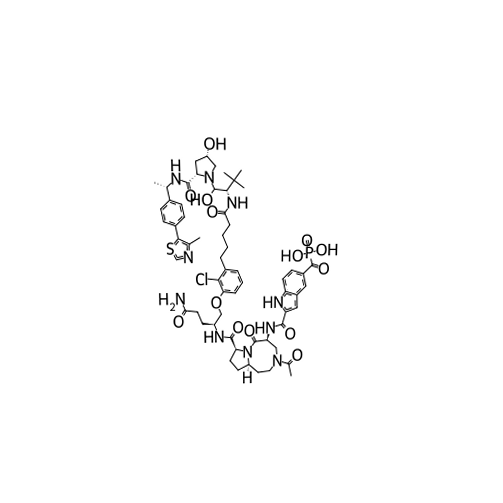 CC(=O)N1CC[C@H]2CC[C@@H](C(=O)N[C@@H](CCC(N)=O)COc3cccc(CCCCC(=O)N[C@H](C(O)N4C[C@@H](O)C[C@H]4C(=O)N[C@@H](C)c4ccc(-c5scnc5C)cc4)C(C)(C)C)c3Cl)N2C(=O)[C@@H](NC(=O)c2cc3cc(C(=O)P(=O)(O)O)ccc3[nH]2)C1